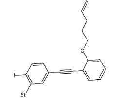 C=CCCCOc1ccccc1C#Cc1ccc(I)c(CC)c1